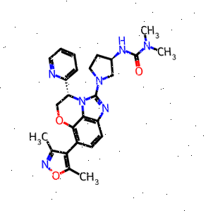 Cc1noc(C)c1-c1ccc2nc(N3CC[C@@H](NC(=O)N(C)C)C3)n3c2c1OC[C@@H]3c1ccccn1